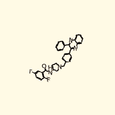 O=C(N[C@@H]1CCN(Cc2ccc(-c3nc4ccccc4nc3-c3ccccc3)cc2)C1)c1cc(F)ccc1F